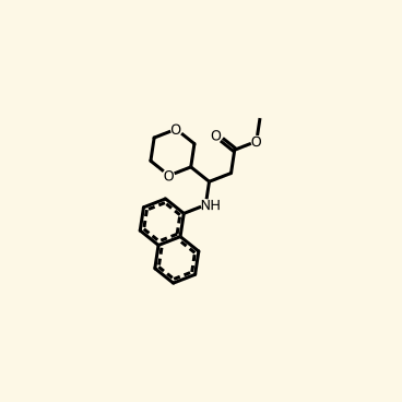 COC(=O)CC(Nc1cccc2ccccc12)C1COCCO1